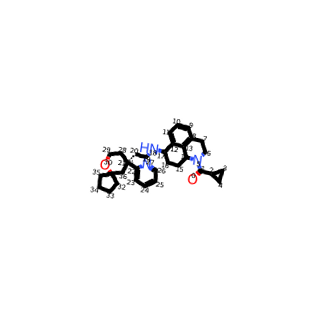 O=C(C1CC1)N1CCc2cccc3c2C1CCC3NCC[C@@]1(c2ccccn2)CCOC2(CCCC2)C1